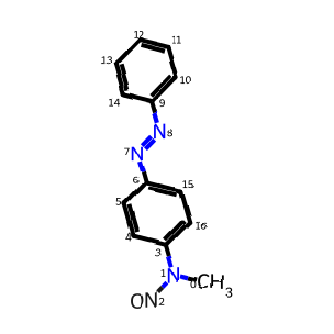 CN(N=O)c1ccc(N=Nc2ccccc2)cc1